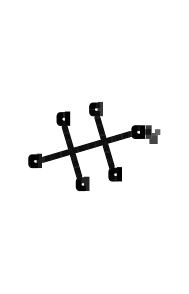 [CH2]C(Cl)(Cl)C(Cl)(Cl)Cl